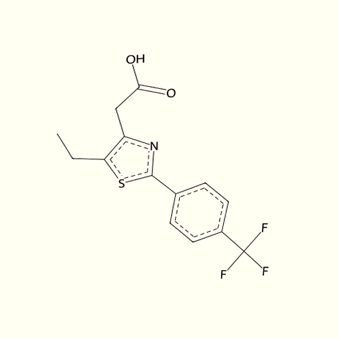 CCc1sc(-c2ccc(C(F)(F)F)cc2)nc1CC(=O)O